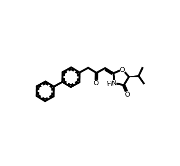 CC(C)[C@@H]1O/C(=C/C(=O)Cc2ccc(-c3ccccc3)cc2)NC1=O